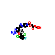 C[C@@H](Oc1cc(-c2cnn(C3CCN(C(=O)OCC(=O)OCO)CC3)c2)cnc1N)c1c(Cl)ccc(F)c1Cl